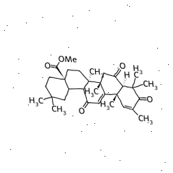 COC(=O)[C@]12CCC(C)(C)CC1C1C(=O)C=C3[C@@]4(C)C=C(C)C(=O)C(C)(C)[C@@H]4C(=O)C[C@@]3(C)[C@]1(C)CC2